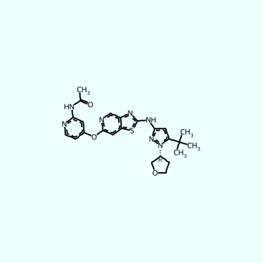 CC(=O)Nc1cc(Oc2cc3sc(Nc4cc(C(C)(C)C)n([C@@H]5CCOC5)n4)nc3cn2)ccn1